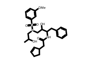 COc1cccc(S(=O)(=O)N(CC(C)O)CC(O)C(Cc2ccccc2)NC(=O)CC2C=CCC2)c1